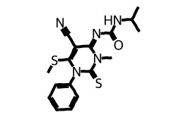 CSc1c(C#N)c(=NC(=O)NC(C)C)n(C)c(=S)n1-c1ccccc1